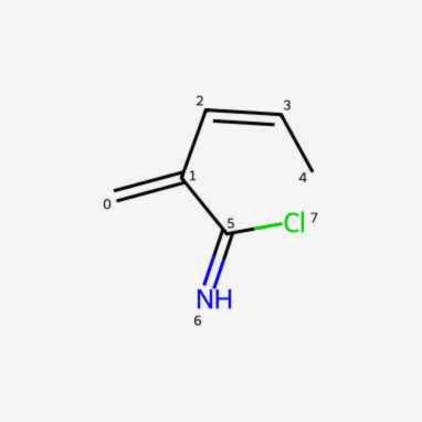 C=C(/C=C\C)C(=N)Cl